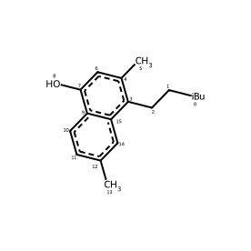 CCC(C)CCc1c(C)cc(O)c2ccc(C)cc12